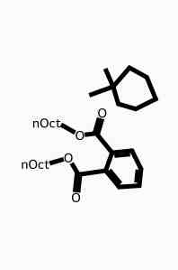 CC1(C)CCCCC1.CCCCCCCCOC(=O)c1ccccc1C(=O)OCCCCCCCC